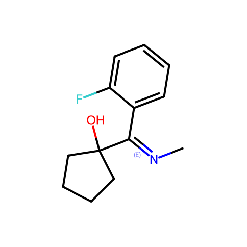 C/N=C(\c1ccccc1F)C1(O)CCCC1